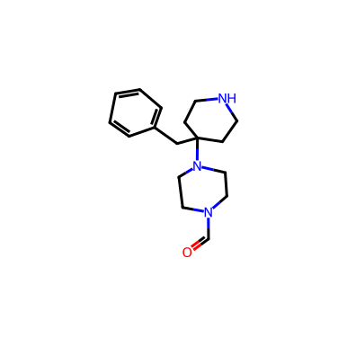 O=CN1CCN(C2(Cc3ccccc3)CCNCC2)CC1